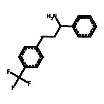 NC(C[CH]c1ccc(C(F)(F)F)cc1)c1ccccc1